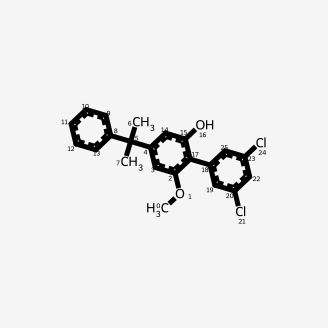 COc1cc(C(C)(C)c2ccccc2)cc(O)c1-c1cc(Cl)cc(Cl)c1